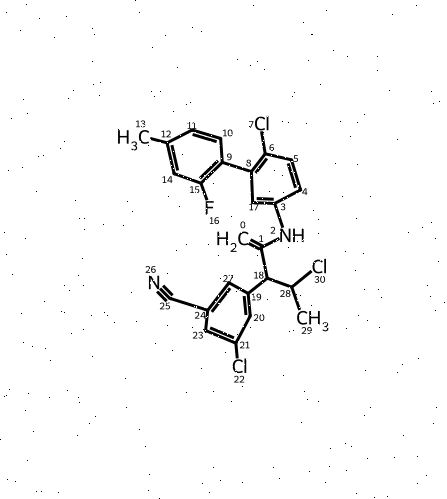 C=C(Nc1ccc(Cl)c(-c2ccc(C)cc2F)c1)C(c1cc(Cl)cc(C#N)c1)C(C)Cl